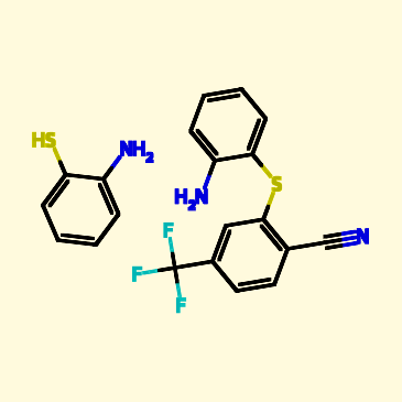 N#Cc1ccc(C(F)(F)F)cc1Sc1ccccc1N.Nc1ccccc1S